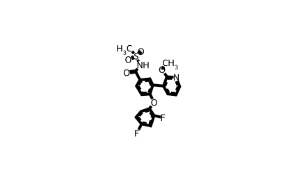 COc1ncccc1-c1cc(C(=O)NS(C)(=O)=O)ccc1Oc1ccc(F)cc1F